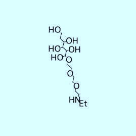 CCNCCOCCOCCOC(O)C(O)C(O)C(O)CCO